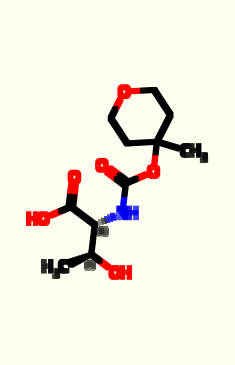 C[C@H](O)[C@@H](NC(=O)OC1(C)CCOCC1)C(=O)O